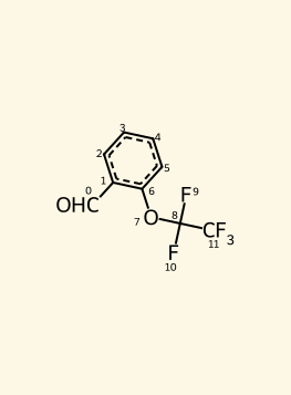 O=Cc1ccccc1OC(F)(F)C(F)(F)F